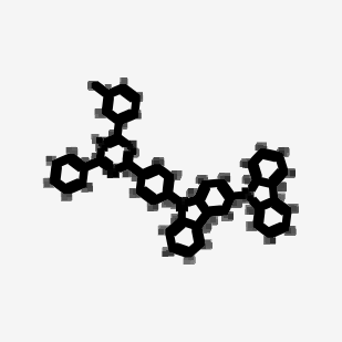 Cc1cccc(-c2nc(-c3ccccc3)nc(-c3ccc(-n4c5ccccc5c5cc(-n6c7ccccc7c7ccccc76)ccc54)cc3)n2)c1